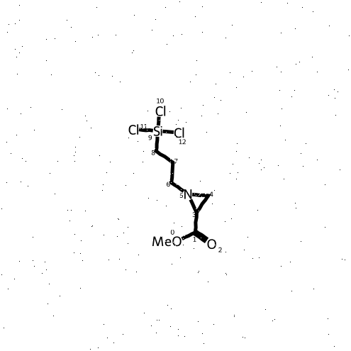 COC(=O)C1CN1CCC[Si](Cl)(Cl)Cl